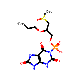 CCCCCCCCCCCCOC(COP(=O)(O)n1c(=O)[nH]c2[nH]c(=O)[nH]c2c1=O)C[S+]([O-])CCCCCCCCCC